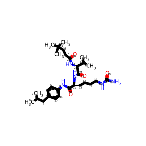 CC(C)Cc1ccc(NC(=O)[C@H](CCCCNC(N)=O)NC(=O)[C@@H](NC(=O)CCC(C)(C)C)C(C)C)cc1